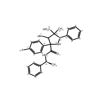 CCCCC1C(C(=O)N[C@@H](C)c2ccccc2)(c2ccc(F)cc2)NN(c2ccccc2)C1(C)C(=O)O